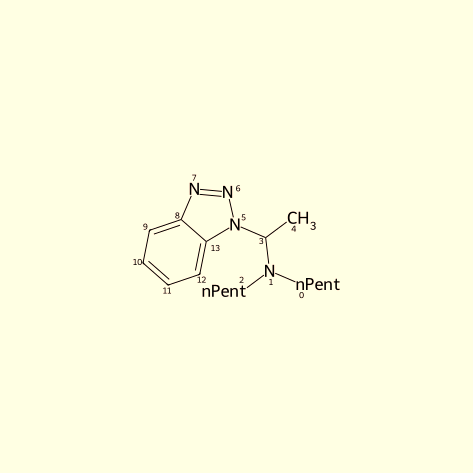 CCCCCN(CCCCC)C(C)n1nnc2ccccc21